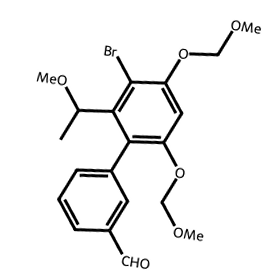 COCOc1cc(OCOC)c(-c2cccc(C=O)c2)c(C(C)OC)c1Br